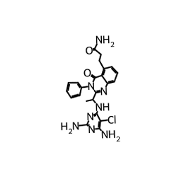 CC(Nc1nc(N)nc(N)c1Cl)c1nc2cccc(CCC(N)=O)c2c(=O)n1-c1ccccc1